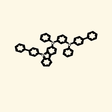 c1ccc(-c2ccc(N(c3ccccc3)c3cccc(N(c4ccccc4)c4ccc5c6ccccc6n(-c6ccc(-c7ccccc7)cc6)c5c4)c3)cc2)cc1